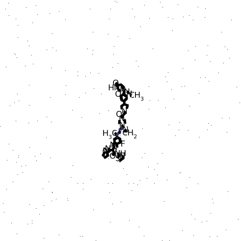 C=N/C(=C\C=C(/C)c1cc(F)c2cn(C(C(=O)Nc3nccs3)c3ncn4c3CCC4)nc2c1)N1CCN(C(=O)CN2CCC(c3ccc4c(N5CCC(=O)NC5=O)nn(C)c4c3)CC2)CC1